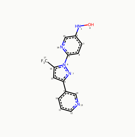 ONc1ccc(-n2nc(-c3cccnc3)cc2C(F)(F)F)nc1